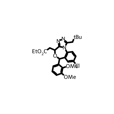 CCOC(=O)CC1OC(c2cccc(OC)c2OC)c2cc(Cl)ccc2-n2c(CC(C)(C)C)nnc21